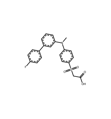 CN(c1ccc(S(=O)(=O)CC(=O)O)cc1)c1cccc(-c2ccc(F)cc2)c1